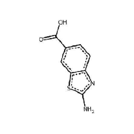 Nc1nc2ccc(C(=O)O)cc2s1